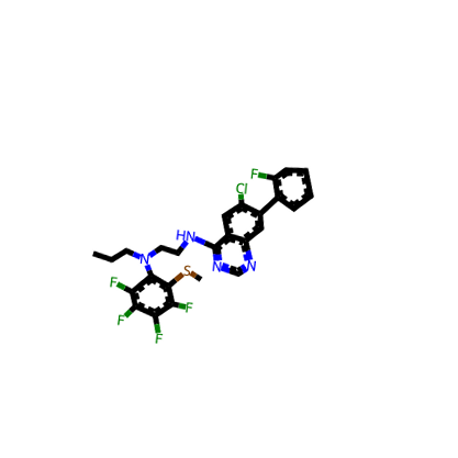 CCCN(CCNc1ncnc2cc(-c3ccccc3F)c(Cl)cc12)c1c(F)c(F)c(F)c(F)c1SC